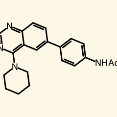 CC(=O)Nc1ccc(-c2ccc3ncnc(N4CCCCC4)c3c2)cc1